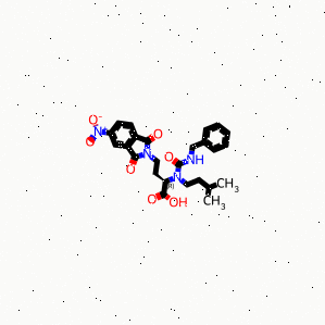 CC(C)CCN(C(=O)NCc1ccccc1)[C@H](CCN1C(=O)c2ccc([N+](=O)[O-])cc2C1=O)C(=O)O